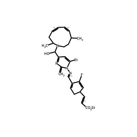 C=C1N=C(C(O)N2CCC(C)/C=C\C=C/CC2C)C=C(CC)N1/N=C/C1=CCC(/C=C/C(=O)OCC)C=C1F